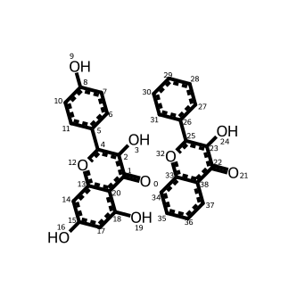 O=c1c(O)c(-c2ccc(O)cc2)oc2cc(O)cc(O)c12.O=c1c(O)c(-c2ccccc2)oc2ccccc12